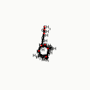 CCCCC(=O)NCCCNCCOCCNCCCNC(=O)[C@@H]1CCCCn2cc(nn2)CC(NC)C(=O)NC(CC(C)C)C(=O)NC(Cc2ccc(O)cc2)C(=O)NCC(=O)NC(CCC(=O)O)C(=O)NC(C(C)C)C(=O)N1